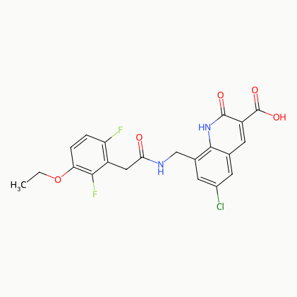 CCOc1ccc(F)c(CC(=O)NCc2cc(Cl)cc3cc(C(=O)O)c(=O)[nH]c23)c1F